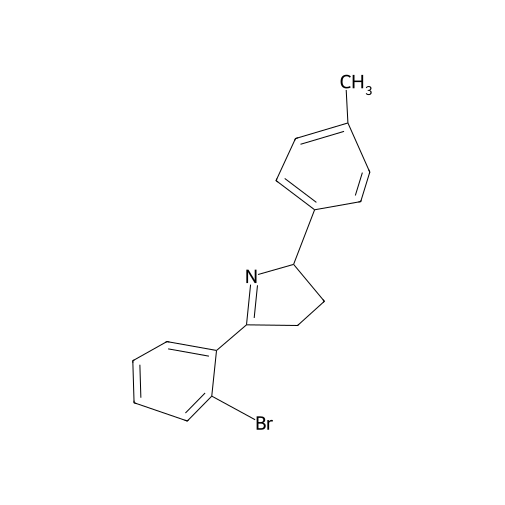 Cc1ccc(C2CCC(c3ccccc3Br)=N2)cc1